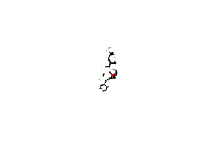 CS(=O)(=O)c1cncc(C(=O)N2C[C@H]3C[C@H]3[C@@H]2C(=O)N[C@@H](c2cc(F)c(Cl)cc2F)C2CC2)c1